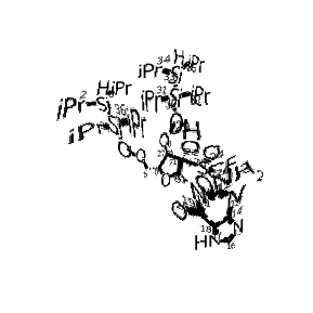 CC(C)[SiH](C(C)C)[Si](OOC[C@H]1O[C@@H](n2c(N)nc3nc[nH]c3c2=O)[C@](O)(S(=O)(=O)C(F)(F)F)[C@@H]1OO[Si](C(C)C)(C(C)C)[SiH](C(C)C)C(C)C)(C(C)C)C(C)C